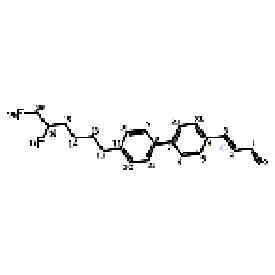 C=C/C=C/c1ccc(-c2ccc(CCCCC(F)CF)cc2)cc1